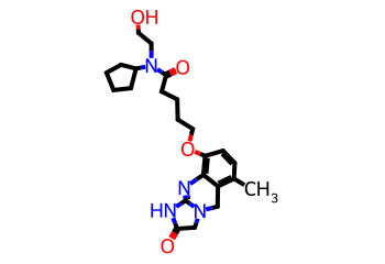 Cc1ccc(OCCCCC(=O)N(CCO)C2CCCC2)c2c1CN1CC(=O)NC1=N2